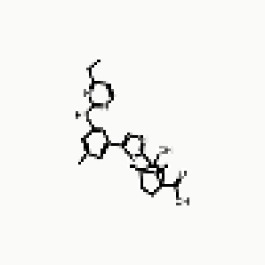 CCc1ccnc(Nc2cc(C)cc(-c3cnc(C4(O)CC5(C(=O)O)CCC4(C)C5(C)C)s3)c2)n1